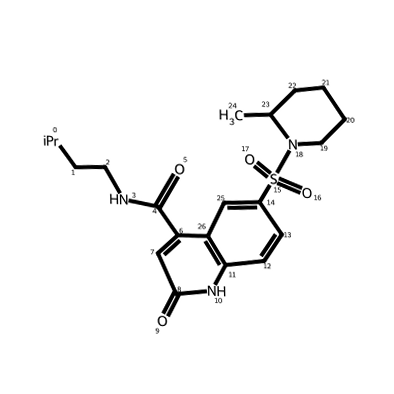 CC(C)CCNC(=O)c1cc(=O)[nH]c2ccc(S(=O)(=O)N3CCCCC3C)cc12